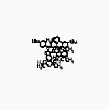 Cc1cc2c3c(c1)N(c1ccc(C(C)(C)C)cc1)c1sc4cc5c(cc4c1B3c1ccc3c(c1N2C1=CCC(C(C)(C)C)C=C1c1ccccc1)C(C)(C)CCC3(C)C)C(C)(C)CCC5(C)C